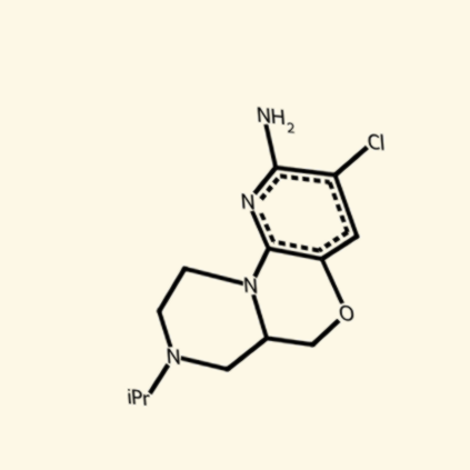 CC(C)N1CCN2c3nc(N)c(Cl)cc3OCC2C1